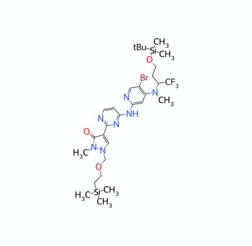 CN(c1cc(Nc2ccnc(-c3cn(COCC[Si](C)(C)C)n(C)c3=O)n2)ncc1Br)C(CCO[Si](C)(C)C(C)(C)C)C(F)(F)F